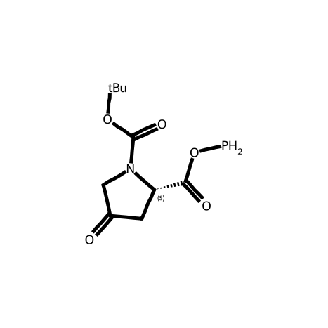 CC(C)(C)OC(=O)N1CC(=O)C[C@H]1C(=O)OP